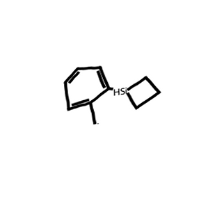 [CH2]c1ccccc1[SiH]1CCC1